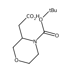 CC(C)(C)OC(=O)N1CCOCC1CC(=O)O